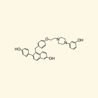 Oc1ccc(-c2ccc3cc(O)ccc3c2Cc2ccc(OCCN3CCN(c4cccc(O)c4)CC3)cc2)cc1